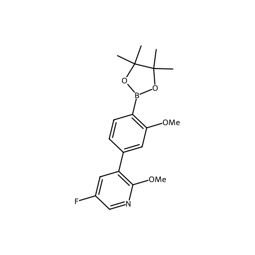 COc1cc(-c2cc(F)cnc2OC)ccc1B1OC(C)(C)C(C)(C)O1